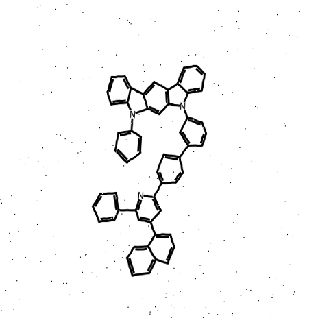 c1ccc(-c2cc(-c3cccc4ccccc34)cc(-c3ccc(-c4cccc(-n5c6ccccc6c6cc7c8ccccc8n(-c8ccccc8)c7cc65)c4)cc3)n2)cc1